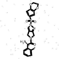 N[C@@H](C(=O)N1Cc2cn(S(=O)(=O)c3ccc4c(c3)OCCO4)nc2C1)c1ccccc1F